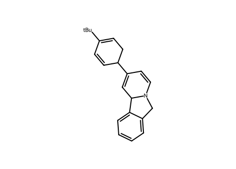 CC(C)(C)C1=CCC(C2=CC3c4ccccc4CN3C=C2)C=C1